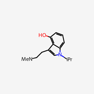 CNCCc1cn(C(C)C)c2cccc(O)c12